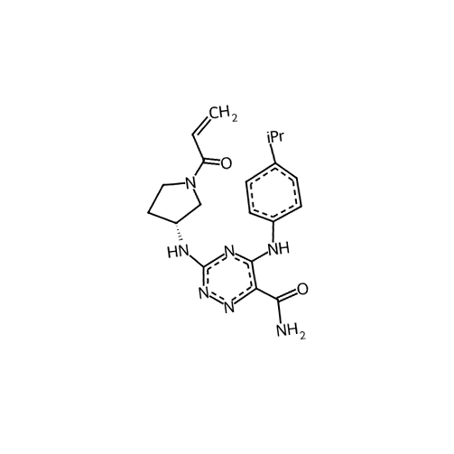 C=CC(=O)N1CC[C@@H](Nc2nnc(C(N)=O)c(Nc3ccc(C(C)C)cc3)n2)C1